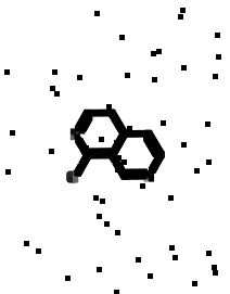 ClC1=C2C=NC=CC2CC=N1